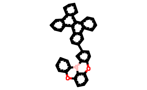 c1ccc2c(c1)Oc1cccc3c1B2c1cc(-c2ccc4c(c2)c2ccccc2c2c5ccccc5c5ccccc5c42)ccc1O3